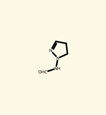 O=CNN1CCC=N1